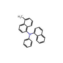 Cc1cccc2c(N(c3ccccc3)c3cccc4ccccc34)cccc12